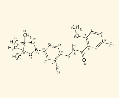 COc1ccc(F)cc1C(=O)NCc1ccc(B2OC(C)(C)C(C)(C)O2)cc1F